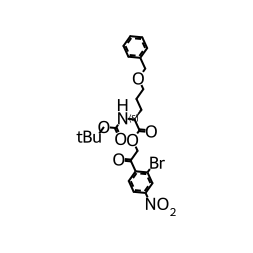 CC(C)(C)OC(=O)N[C@@H](CCCOCc1ccccc1)C(=O)OCC(=O)c1ccc([N+](=O)[O-])cc1Br